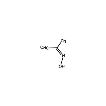 N#CC(C=O)=NO